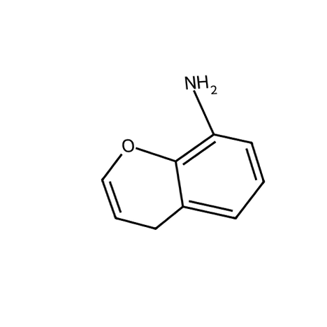 Nc1cccc2c1OC=CC2